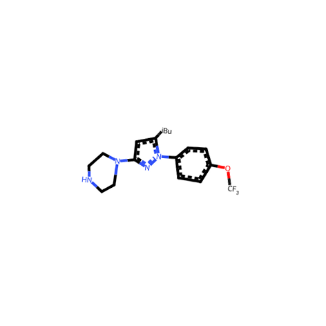 CCC(C)c1cc(N2CCNCC2)nn1-c1ccc(OC(F)(F)F)cc1